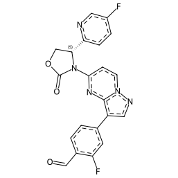 O=Cc1ccc(-c2cnn3ccc(N4C(=O)OC[C@@H]4c4ccc(F)cn4)nc23)cc1F